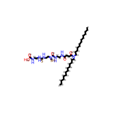 CCCCCCCCCCCCCCN(CCCCCCCCCCCCCC)C(=O)CCC(=O)NCCNC(=O)N(S)CCNC(=S)NCCNC(=O)O